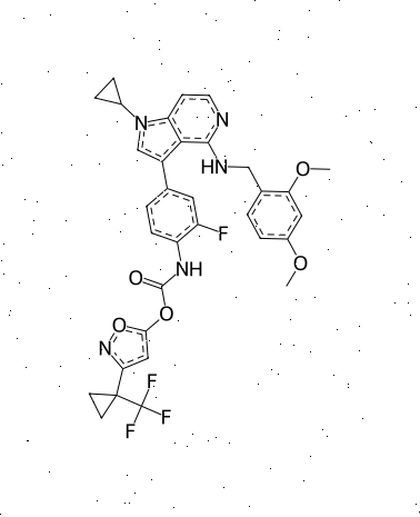 COc1ccc(CNc2nccc3c2c(-c2ccc(NC(=O)Oc4cc(C5(C(F)(F)F)CC5)no4)c(F)c2)cn3C2CC2)c(OC)c1